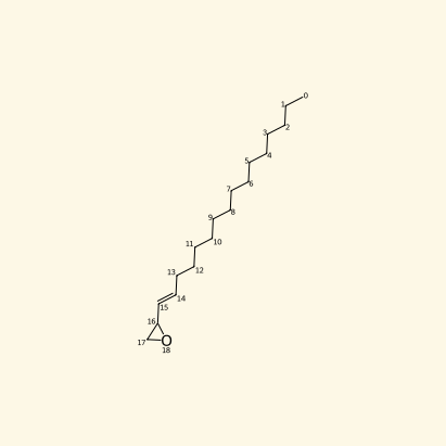 CCCCCCCCCCCCCCC=CC1CO1